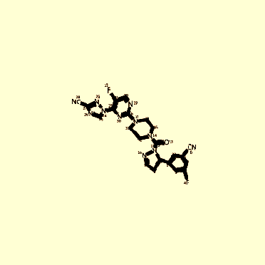 N#Cc1cc(F)cc(C2CC=NN2C(=O)N2CCN(c3ncc(F)c(-n4cnc(C#N)n4)n3)CC2)c1